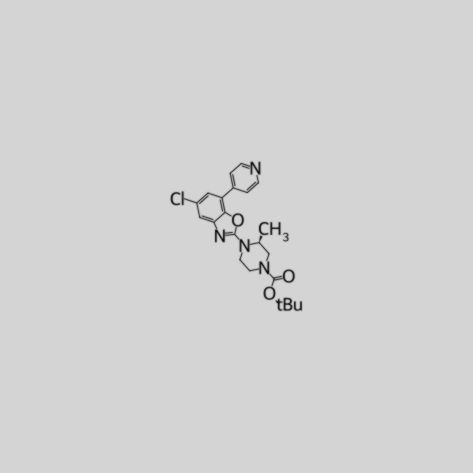 C[C@H]1CN(C(=O)OC(C)(C)C)CCN1c1nc2cc(Cl)cc(-c3ccncc3)c2o1